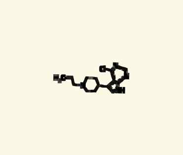 C=CCN1CCC(c2c[nH]c3ncnc(Cl)c23)CC1